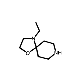 CCN1CCOC12CCNCC2